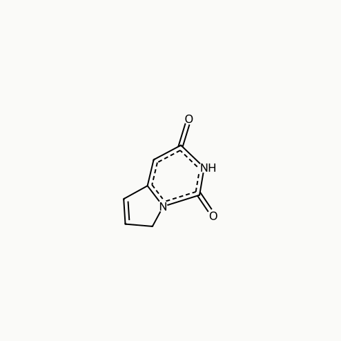 O=c1cc2n(c(=O)[nH]1)CC=C2